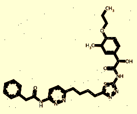 CCCOC1C=CC(C(O)C(=O)Nc2nnc(CCCCc3ccc(NC(=O)Cc4ccccc4)nn3)s2)=CC1C